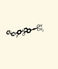 CC(O)C#Cc1ccc2c(=O)n(-c3ccc(N4CC[C@@H](N5CCCC5)C4)c(F)c3)ccc2c1